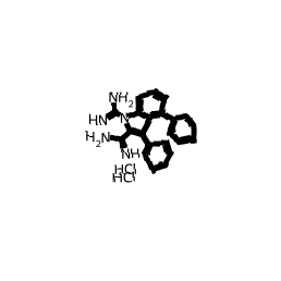 Cl.Cl.N=C(N)c1c(-c2ccccc2)c2c(-c3ccccc3)cccc2n1C(=N)N